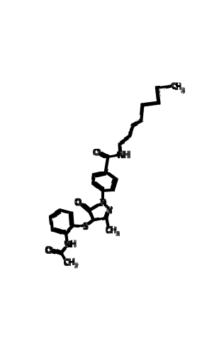 CCCCCCCCNC(=O)c1ccc(N2N=C(C)C(Sc3ccccc3NC(C)=O)C2=O)cc1